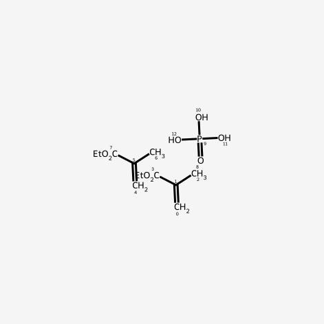 C=C(C)C(=O)OCC.C=C(C)C(=O)OCC.O=P(O)(O)O